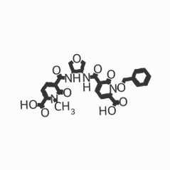 Cn1c(C(=O)O)ccc(C(=O)N[C@@H]2COC[C@@H]2NC(=O)c2ccc(C(=O)O)n(OCc3ccccc3)c2=O)c1=O